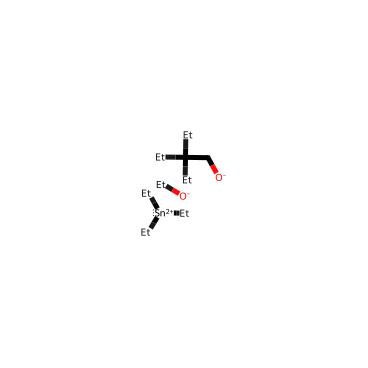 CCC(CC)(CC)C[O-].CC[O-].C[CH2][Sn+2]([CH2]C)[CH2]C